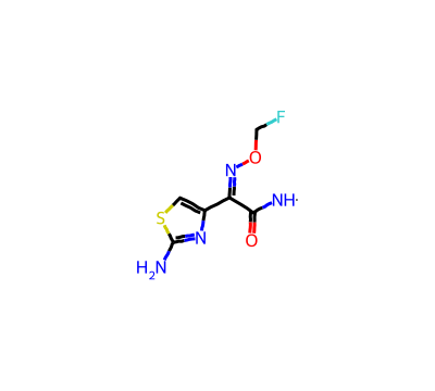 [NH]C(=O)C(=NOCF)c1csc(N)n1